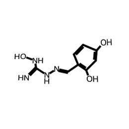 N=C(NO)N/N=C/c1ccc(O)cc1O